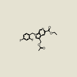 CCOC(=O)c1cc2c(COC(C)=O)cn(Cc3ccc(F)cc3F)c2cn1